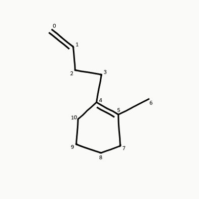 C=CCCC1=C(C)CCCC1